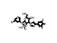 O=P(O)(O)OC1C(Sc2cncc(Br)c2)OC(CO)C(O)C1n1cc(-c2cc(F)c(F)c(F)c2)nn1